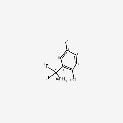 Cc1ccc(Cl)c(C(F)(F)P)c1